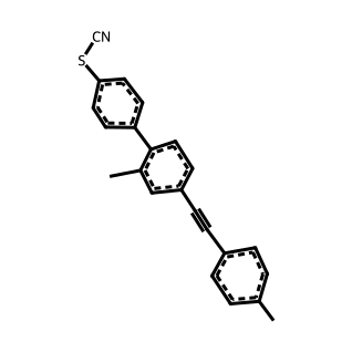 Cc1ccc(C#Cc2ccc(-c3ccc(SC#N)cc3)c(C)c2)cc1